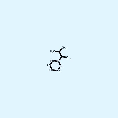 CC(C)C(C)N1BNBNB1